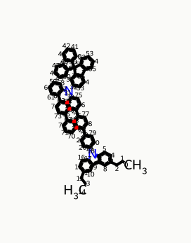 CCCc1ccc2c(c1)c1cc(CCC)ccc1n2-c1ccc(-c2ccc(-c3ccc(N(c4ccc5c(c4)C(c4ccccc4)(c4ccccc4)c4ccccc4-5)c4ccccc4-c4ccc(-c5ccccc5)cc4)cc3)cc2)cc1